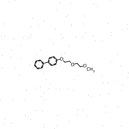 COCCOCCOc1ccc(-c2ccccc2)cc1